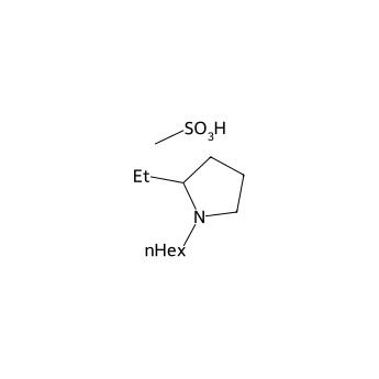 CCCCCCN1CCCC1CC.CS(=O)(=O)O